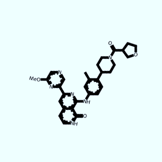 COc1cncc(-c2cc3cc[nH]c(=O)c3c(Nc3ccc(C4CCN(C(=O)C5CCOC5)CC4)c(C)c3)n2)n1